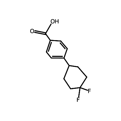 O=C(O)c1ccc(C2CCC(F)(F)CC2)cc1